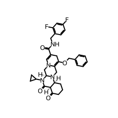 O=C(NCc1ccc(F)cc1F)C1=CN2C[C@@H]3N(C4CC4)C(=O)[C@@H]4C(=O)CCC[C@@H]4N3CC2=C(OCc2ccccc2)C1